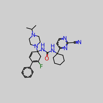 CC(C)N1CCN(C2(NC(=O)NC3(c4ccnc(C#N)n4)CCCCC3)C=CC(c3ccccc3)=C(F)C2)CC1